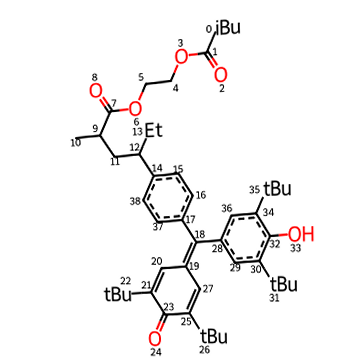 CCC(C)C(=O)OCCOC(=O)C(C)CC(CC)c1ccc(C(=C2C=C(C(C)(C)C)C(=O)C(C(C)(C)C)=C2)c2cc(C(C)(C)C)c(O)c(C(C)(C)C)c2)cc1